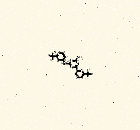 CC(F)(F)c1cccc(-c2nc(N)nc(Nc3ccnc(C(C)(C)C#N)c3)n2)n1